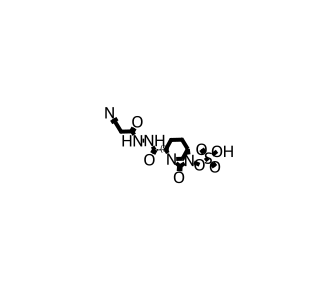 N#CCC(=O)NNC(=O)[C@@H]1CCC2CN1C(=O)N2OS(=O)(=O)O